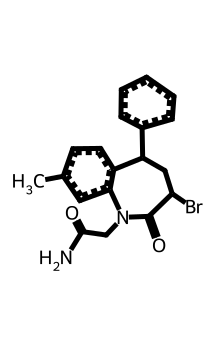 Cc1ccc2c(c1)N(CC(N)=O)C(=O)C(Br)CC2c1ccccc1